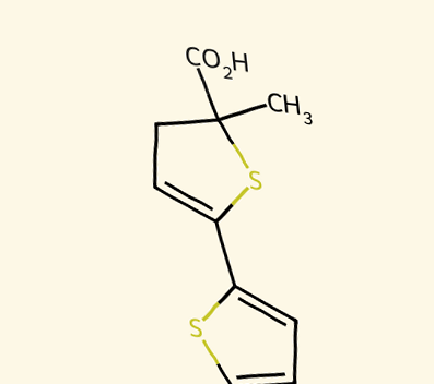 CC1(C(=O)O)CC=C(c2cccs2)S1